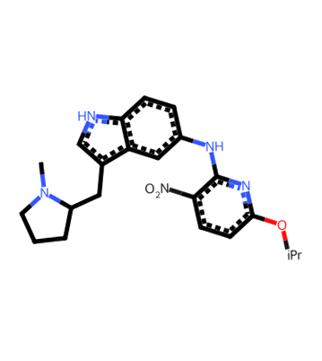 CC(C)Oc1ccc([N+](=O)[O-])c(Nc2ccc3[nH]cc(CC4CCCN4C)c3c2)n1